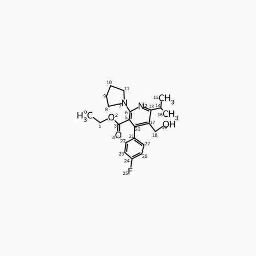 CCOC(=O)c1c(N2CCCC2)nc(C(C)C)c(CO)c1-c1ccc(F)cc1